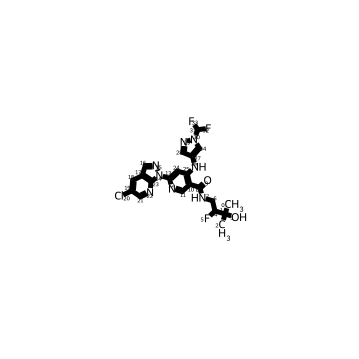 CC(C)(O)C(F)CNC(=O)c1cnc(-n2ncc3cc(Cl)cnc32)cc1Nc1cnn(C(F)F)c1